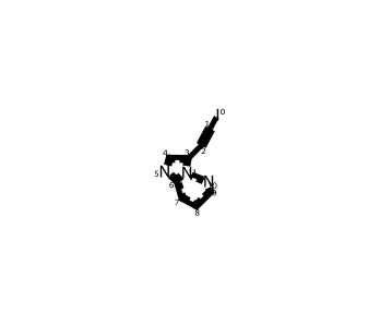 IC#Cc1cnc2cccnn12